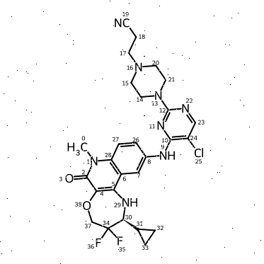 Cn1c(=O)c2c(c3cc(Nc4nc(N5CCN(CCC#N)CC5)ncc4Cl)ccc31)N[C@@H](C1CC1)C(F)(F)CO2